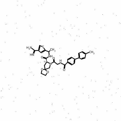 Cc1ccc(-c2ccc(C(=O)NCC(=O)N3CC4(C[C@H]3C(=O)NC(C)c3cc(C(=N)N)cs3)OCCO4)cc2)cc1